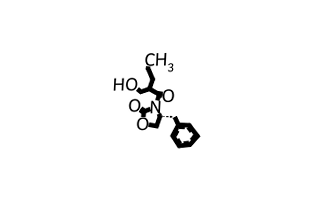 CCCC(CO)C(=O)N1C(=O)OC[C@H]1Cc1ccccc1